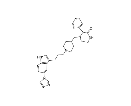 O=C1NCCN(CC2CCN(CCCc3c[nH]c4ccc(-n5cnnc5)cc34)CC2)C1c1ccccc1